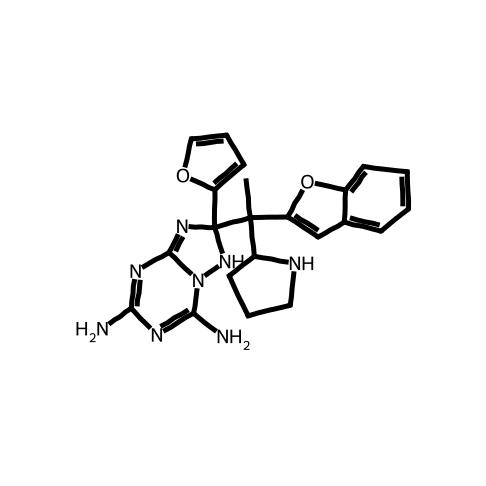 CC(c1cc2ccccc2o1)(C1CCCN1)C1(c2ccco2)N=C2N=C(N)N=C(N)N2N1